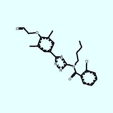 CCCCN(C(=O)c1ccccc1Cl)c1nnc(-c2cc(C)c(OCC=O)c(C)c2)s1